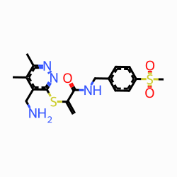 C=C(Sc1nnc(C)c(C)c1CN)C(=O)NCc1ccc(S(C)(=O)=O)cc1